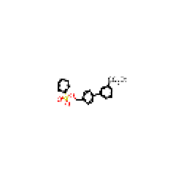 CCOC(=O)c1cccc(-c2ccc(COS(=O)(=O)c3ccccc3)cc2)c1